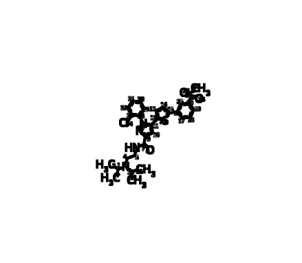 CC(C)N(CCNC(=O)c1cc(-c2ccc(-c3cccc(S(C)(=O)=O)c3)s2)n(-c2ccccc2Cl)n1)C(C)C